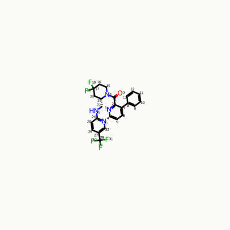 O=C(c1ncccc1-c1ccccc1)N1CCC(F)(F)C[C@H]1CNc1ccc(C(F)(F)F)cn1